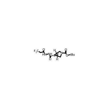 CC(C)(C)OC(=O)N1C[C@@H]2[C@H](C1)[C@H]2C(=O)NNC(=O)CC(F)(F)F